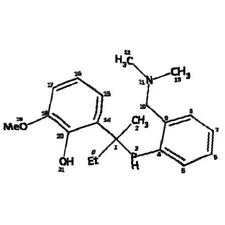 CCC(C)(Pc1ccccc1CN(C)C)c1cccc(OC)c1O